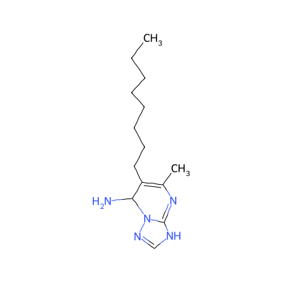 CCCCCCCCC1=C(C)N=C2NC=NN2C1N